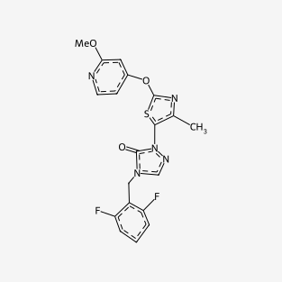 COc1cc(Oc2nc(C)c(-n3ncn(Cc4c(F)cccc4F)c3=O)s2)ccn1